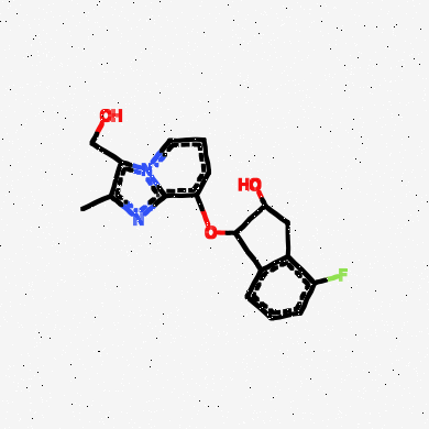 Cc1nc2c(OC3c4cccc(F)c4CC3O)cccn2c1CO